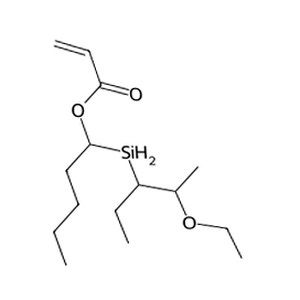 C=CC(=O)OC(CCCC)[SiH2]C(CC)C(C)OCC